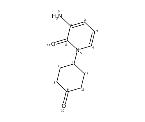 Nc1cccn(C2CCC(=O)CC2)c1=O